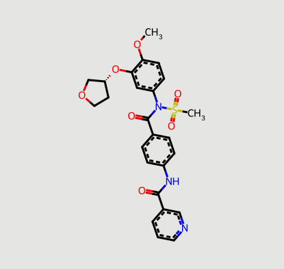 COc1ccc(N(C(=O)c2ccc(NC(=O)c3cccnc3)cc2)S(C)(=O)=O)cc1O[C@@H]1CCOC1